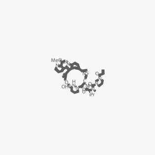 C=CC(=O)N1CCCN(C(=O)N(C)[C@H](C(=O)N[C@H]2Cc3nc(cs3)-c3ccc4c(c3)c(c(-c3cccnc3[C@H](C)OC)n4CC)CC(C)(C)COCC3(C=O)CCCN(N3)C2=O)C(C)C)C1